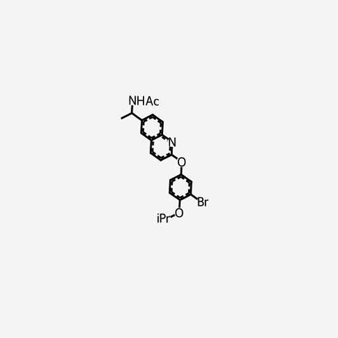 CC(=O)NC(C)c1ccc2nc(Oc3ccc(OC(C)C)c(Br)c3)ccc2c1